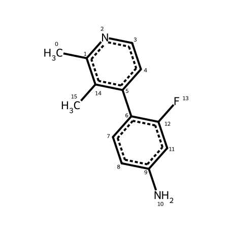 Cc1nccc(-c2ccc(N)cc2F)c1C